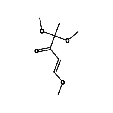 CO/C=C/C(=O)C(C)(OC)OC